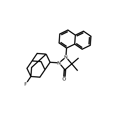 CC1(C)C(=O)N(C2C3CC4CC2CC(F)(C4)C3)N1c1cccc2ccccc12